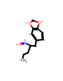 CCCC(Cc1ccc2c(c1)OCO2)N=O